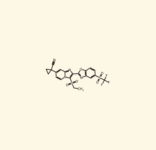 CCS(=O)(=O)c1c(-c2nc3cc(S(=O)(=O)C(F)(F)F)ccc3o2)nc2cc(C3(C#N)CC3)ccn12